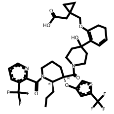 CCC[C@H]1N(C(=O)c2ncccc2C(F)(F)F)CCC[C@@]1(Oc1csc(C(F)(F)F)c1)C(=O)N1CCC(O)(C2=C(OCC3(CC(=O)O)CC3)CCC=C2)CC1